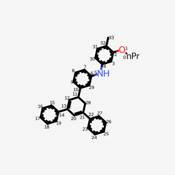 CCCOc1cc(Nc2cccc(C3C=C(c4ccccc4)C=C(c4ccccc4)C3)c2)ccc1C